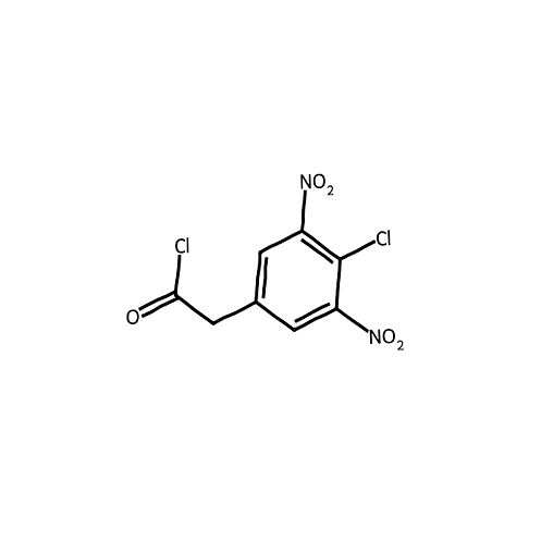 O=C(Cl)Cc1cc([N+](=O)[O-])c(Cl)c([N+](=O)[O-])c1